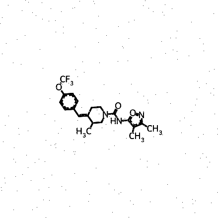 Cc1noc(NC(=O)N2CC/C(=C\c3ccc(OC(F)(F)F)cc3)C(C)C2)c1C